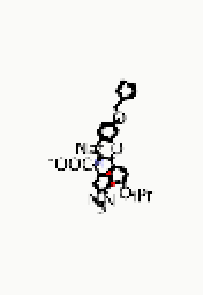 CC(C)Oc1ccc(C(=O)/C(Cc2ccc(OCc3ccccc3)cc2)=C(/C(=O)[O-])c2ccc3nsnc3c2)cc1.[Na+]